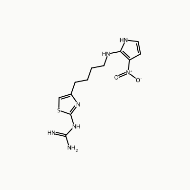 N=C(N)Nc1nc(CCCCNc2[nH]ccc2[N+](=O)[O-])cs1